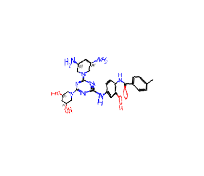 Cc1ccc(C(=O)Nc2ccc(Nc3nc(N4C[C@H](N)C[C@H](N)C4)nc(N4C[C@H](O)C[C@H](O)C4)n3)cc2O)cc1